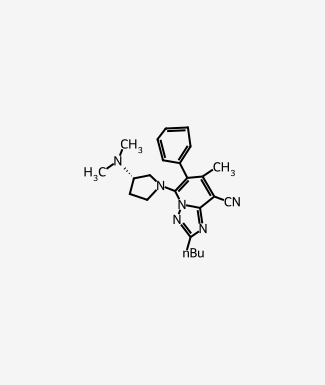 CCCCc1nc2c(C#N)c(C)c(-c3ccccc3)c(N3CC[C@H](N(C)C)C3)n2n1